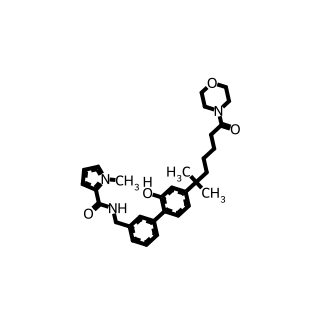 Cn1cccc1C(=O)NCc1cccc(-c2ccc(C(C)(C)CCCCC(=O)N3CCOCC3)cc2O)c1